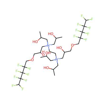 CC(O)C[N+](CC[N+](CC(C)O)(CC(C)O)CC(O)COCC(F)(F)C(F)(F)C(F)(F)C(F)F)(CC(C)O)CC(O)COCC(F)(F)C(F)(F)C(F)(F)C(F)F